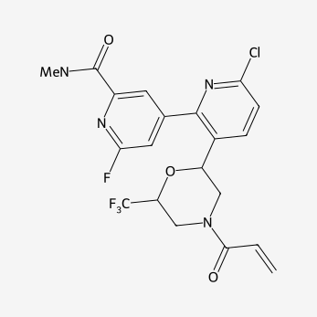 C=CC(=O)N1CC(c2ccc(Cl)nc2-c2cc(F)nc(C(=O)NC)c2)OC(C(F)(F)F)C1